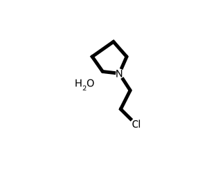 ClCCN1CCCC1.O